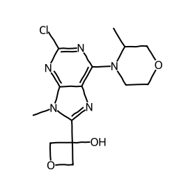 CC1COCCN1c1nc(Cl)nc2c1nc(C1(O)COC1)n2C